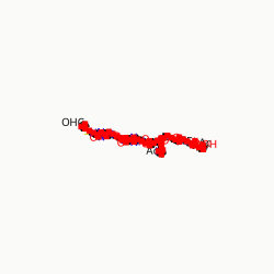 CCO[C@@H](C[C@@H]1CC[C@@H](C)[C@](O)(C(C)=O)O1)/C(C)=C/C=C/C=C/C(C)CC(C)C(=O)CC/C=C/[C@@H](C)C(=O)CC(CCC1CCC(OC(=O)NCc2cnc(N3CCN(C(=O)CCOCCN4CCN(c5ncc(C(=O)NCCSc6ccc(C=O)c(C)c6)cn5)CC4)CC3)nc2)CC1)OCC[C@]1(C)CCCCN1C(C)=O